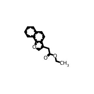 CCOC(=O)Cc1coc2c1ccc1ccccc12